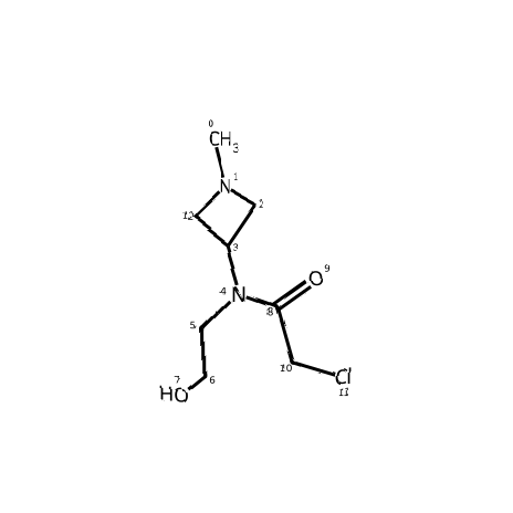 CN1CC(N(CCO)C(=O)CCl)C1